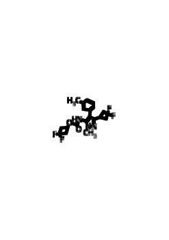 Cc1cccc(-c2c(C3CC(F)(F)C3)nn(C)c2NC(=O)OC2CC(F)(F)C2)c1